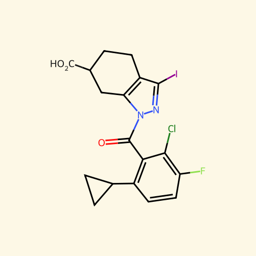 O=C(O)C1CCc2c(I)nn(C(=O)c3c(C4CC4)ccc(F)c3Cl)c2C1